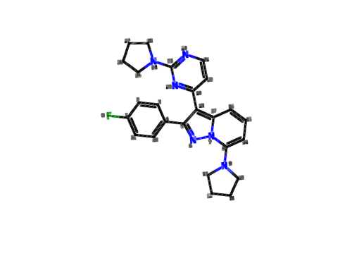 Fc1ccc(-c2nn3c(N4CCCC4)cccc3c2-c2ccnc(N3CCCC3)n2)cc1